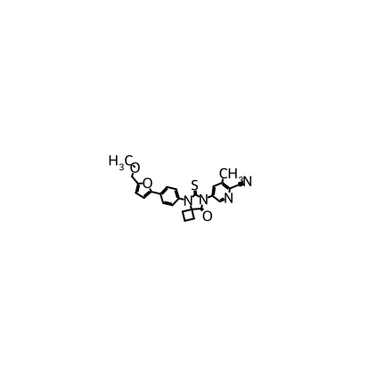 COCc1ccc(-c2ccc(N3C(=S)N(c4cnc(C#N)c(C)c4)C(=O)C34CCC4)cc2)o1